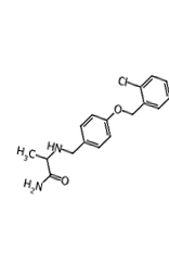 CC(NCc1ccc(OCc2ccccc2Cl)cc1)C(N)=O